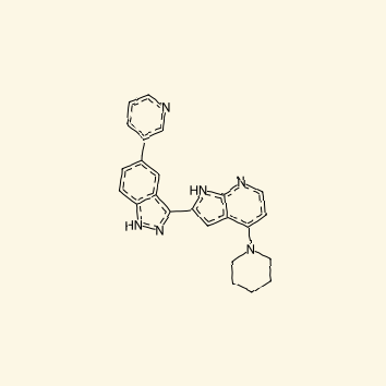 c1cncc(-c2ccc3[nH]nc(-c4cc5c(N6CCCCC6)ccnc5[nH]4)c3c2)c1